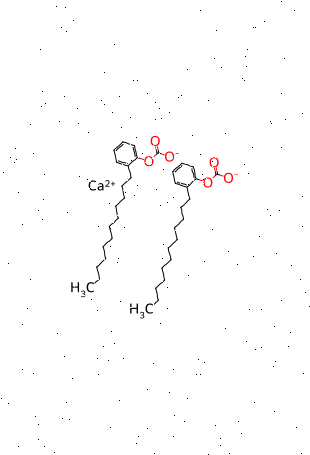 CCCCCCCCCCCCc1ccccc1OC(=O)[O-].CCCCCCCCCCCCc1ccccc1OC(=O)[O-].[Ca+2]